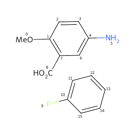 COc1ccc(N)cc1C(=O)O.Fc1ccccc1